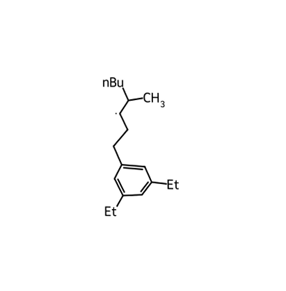 CCCCC(C)[CH]CCc1cc(CC)cc(CC)c1